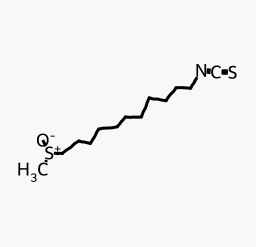 C[S+]([O-])CCCCCCCCCCCN=C=S